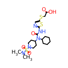 CN(C)S(=O)(=O)N1CCC(N(C(=O)Nc2ncc(SCC(=O)O)s2)C2CCCCC2)CC1